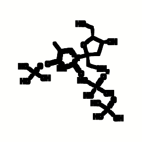 Cc1cn([C@@]2(CN)C[C@H](O)[C@@H](CO)O2)c(=O)[nH]c1=O.O=P(O)(O)O.O=P(O)(O)O.O=P(O)(O)O